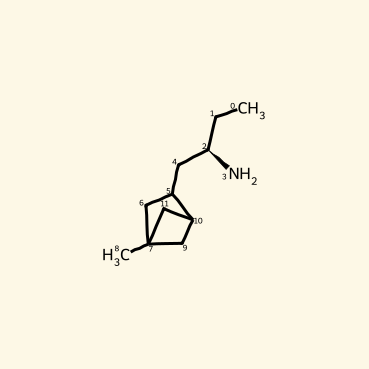 CC[C@@H](N)CC1CC2(C)CC1C2